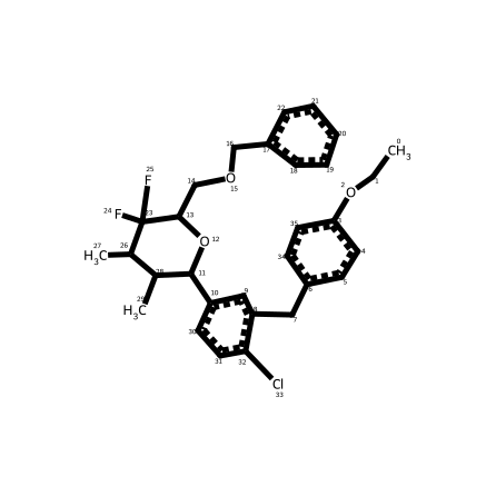 CCOc1ccc(Cc2cc(C3OC(COCc4ccccc4)C(F)(F)C(C)C3C)ccc2Cl)cc1